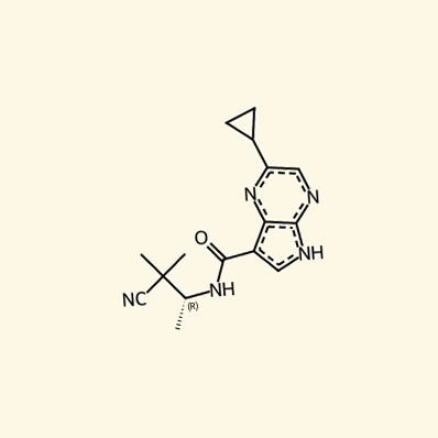 C[C@@H](NC(=O)c1c[nH]c2ncc(C3CC3)nc12)C(C)(C)C#N